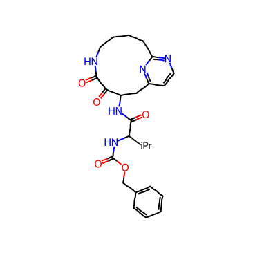 CC(C)C(NC(=O)OCc1ccccc1)C(=O)NC1Cc2ccnc(n2)CCCCNC(=O)C1=O